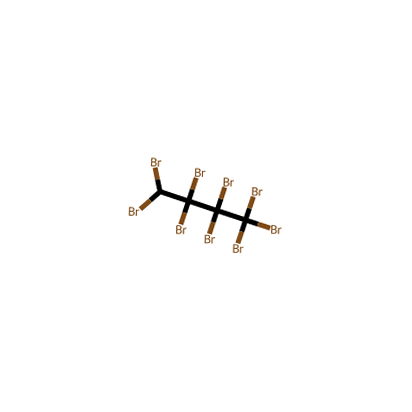 Br[C](Br)C(Br)(Br)C(Br)(Br)C(Br)(Br)Br